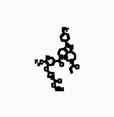 C=CC(=O)N1CCc2nn(-c3ccc(C(C)C)cc3)c3c2[C@H](C1)N(C(=O)c1cnc(C(F)(F)F)c(OC2CN(C(=O)OC(C)(C)C)C2)c1)CC3